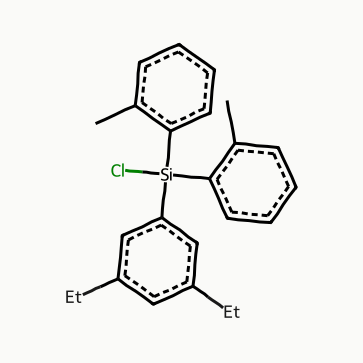 CCc1cc(CC)cc([Si](Cl)(c2ccccc2C)c2ccccc2C)c1